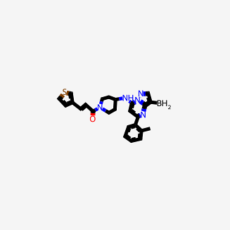 Bc1cnn2c(NC3CCN(C(=O)/C=C/c4ccsc4)CC3)cc(-c3ccccc3C)nc12